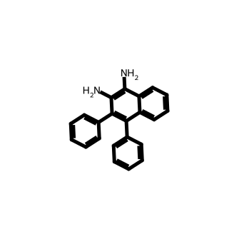 Nc1c(-c2ccccc2)c(-c2ccccc2)c2ccccc2c1N